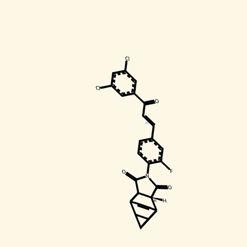 O=C(/C=C/c1ccc(N2C(=O)C3C4C=CC(C5CC45)[C@H]3C2=O)c(F)c1)c1cc(Cl)cc(Cl)c1